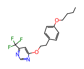 CCCCOc1ccc(CCOc2cc(C(F)(F)F)ncn2)cc1